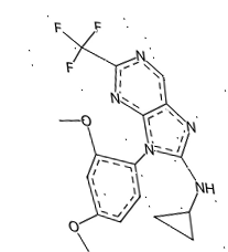 COc1ccc(-n2c(NC3CC3)nc3cnc(C(F)(F)F)nc32)c(OC)c1